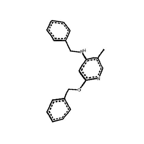 Cc1cnc(OCc2ccccc2)cc1NCc1ccccc1